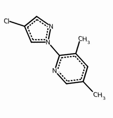 Cc1cnc(-n2cc(Cl)cn2)c(C)c1